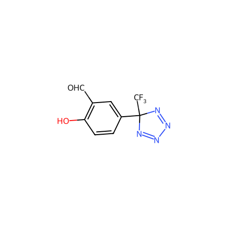 O=Cc1cc(C2(C(F)(F)F)N=NN=N2)ccc1O